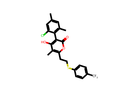 Cc1cc(C)c(-c2c(O)c(C)c(CCSc3ccc(C(F)(F)F)cc3)oc2=O)c(Cl)c1